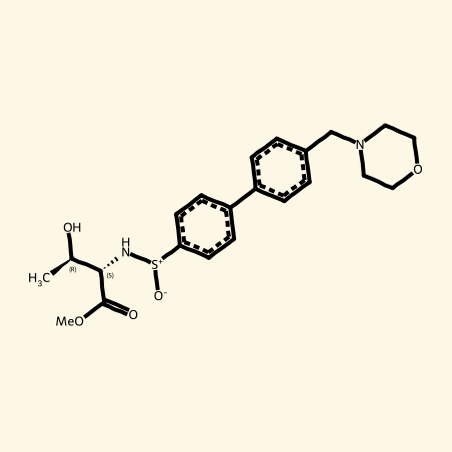 COC(=O)[C@@H](N[S+]([O-])c1ccc(-c2ccc(CN3CCOCC3)cc2)cc1)[C@@H](C)O